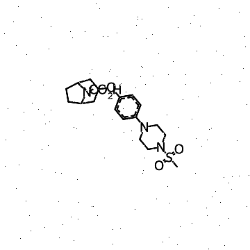 CS(=O)(=O)N1CCN(c2ccc(OC3CC4CCC(C3)N4C(=O)O)cc2)CC1